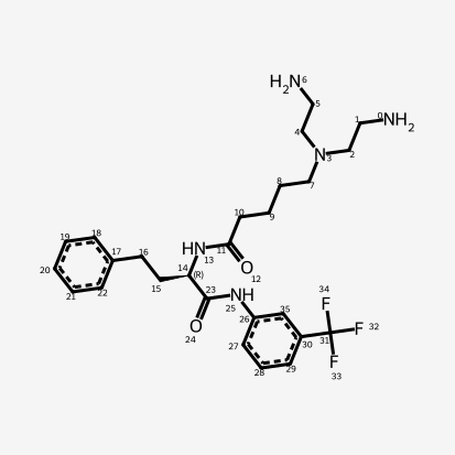 NCCN(CCN)CCCCC(=O)N[C@H](CCc1ccccc1)C(=O)Nc1cccc(C(F)(F)F)c1